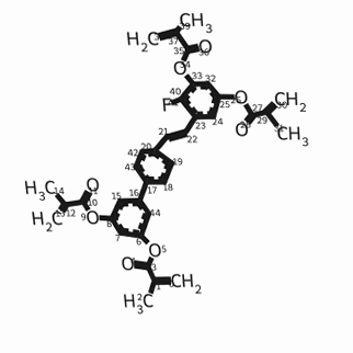 C=C(C)C(=O)Oc1cc(OC(=O)C(=C)C)cc(-c2ccc(/C=C/c3cc(OC(=O)C(=C)C)cc(OC(=O)C(=C)C)c3F)cc2)c1